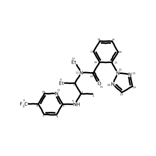 CCC(C(C)Nc1ccc(C(F)(F)F)cn1)N(CC)C(=O)c1ccccc1-n1nccn1